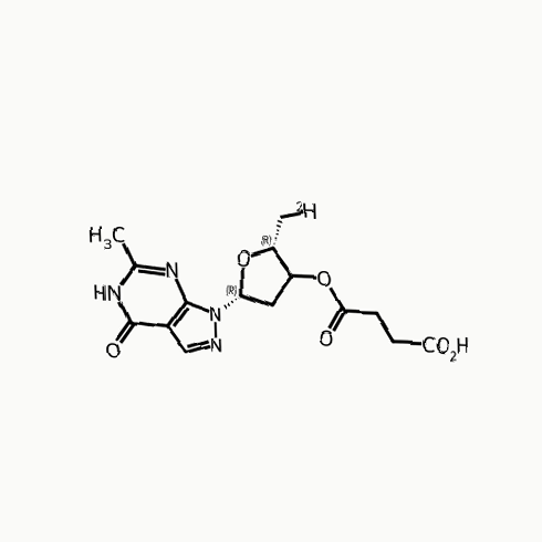 [2H]C[C@H]1O[C@@H](n2ncc3c(=O)[nH]c(C)nc32)CC1OC(=O)CCC(=O)O